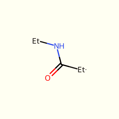 C[CH]C(=O)NCC